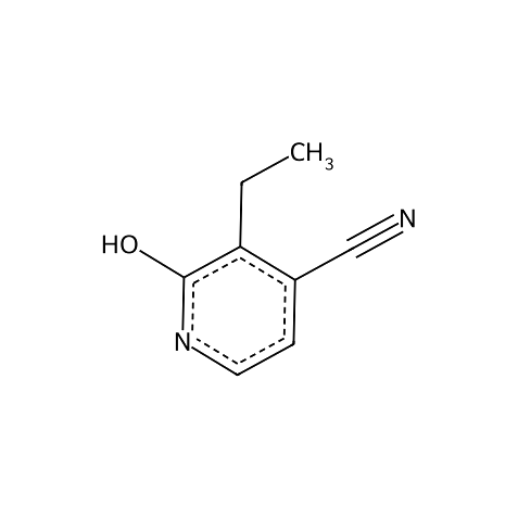 CCc1c(C#N)ccnc1O